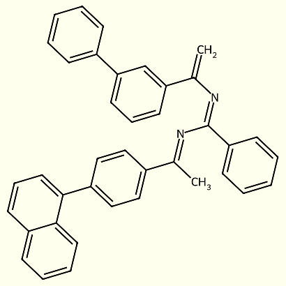 C=C(/N=C(\N=C(/C)c1ccc(-c2cccc3ccccc23)cc1)c1ccccc1)c1cccc(-c2ccccc2)c1